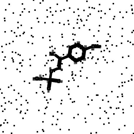 CCCCCCCCS(=O)(=O)ON=C(C#N)c1ccc(OC)cc1